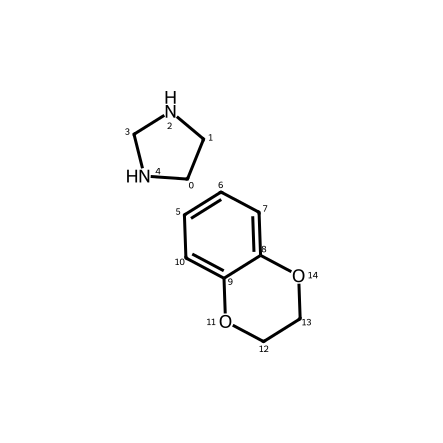 C1CNCN1.c1ccc2c(c1)OCCO2